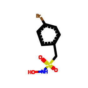 O=S(=O)(Cc1ccc(Br)cc1)NO